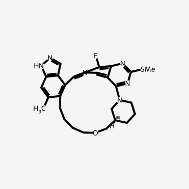 CSc1nc2c3cnc(c(F)c3n1)-c1c(c(C)cc3[nH]ncc13)CCCCOC[C@@H]1CCCN2C1